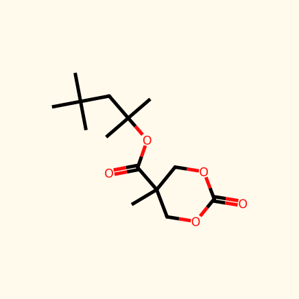 CC(C)(C)CC(C)(C)OC(=O)C1(C)COC(=O)OC1